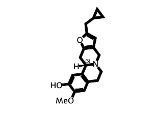 COc1cc2c(cc1O)[C@@H]1Cc3oc(CC4CC4)cc3CN1CC2